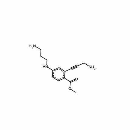 COC(=O)c1ccc(NCCCN)cc1C#CCN